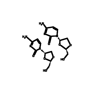 Nc1ccn([C@@H]2CO[C@H](CO)O2)c(=O)n1.Nc1ccn([C@@H]2CO[C@H](CO)O2)c(=O)n1